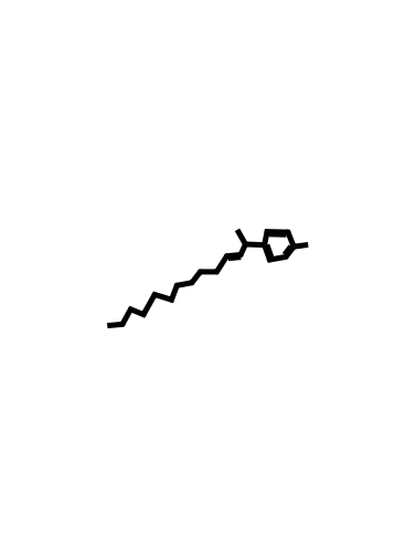 CCCCCCCCCCC=CC(C)c1ccc(C)cc1